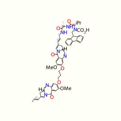 C/C=C/C1=CN2C(=O)c3cc(OC)c(OCCCOc4cc5c(cc4OC)C(=O)N4C=C(/C=C/CNC(=O)[C@H](C)NC(=O)[C@H](C(C)C)N(CC6c7ccccc7-c7ccccc76)C(=O)O)C[C@H]4C=N5)cc3N=C[C@@H]2C1